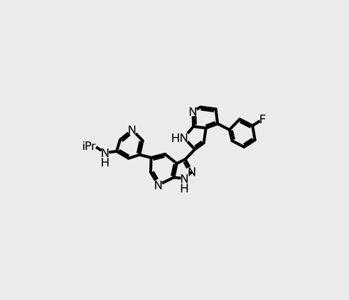 CC(C)Nc1cncc(-c2cnc3[nH]nc(-c4cc5c(-c6cccc(F)c6)ccnc5[nH]4)c3c2)c1